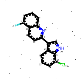 Fc1cccc2nc(-c3c[nH]c4c(Cl)cccc34)ccc12